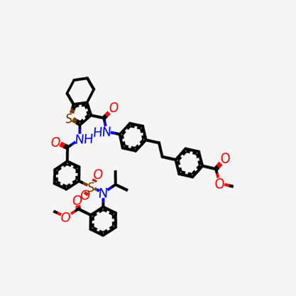 COC(=O)c1ccc(CCc2ccc(NC(=O)c3c(NC(=O)c4cccc(S(=O)(=O)N(c5ccccc5C(=O)OC)C(C)C)c4)sc4c3CCCC4)cc2)cc1